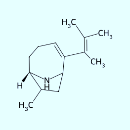 CC(C)=C(C)C1=CCC[C@@H]2NC1CC2C